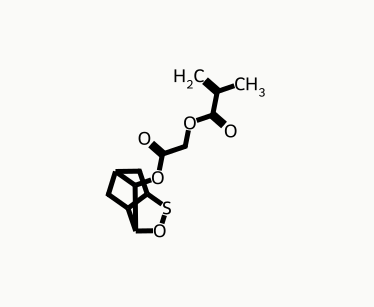 C=C(C)C(=O)OCC(=O)OC1C2CC3SOC1C3C2